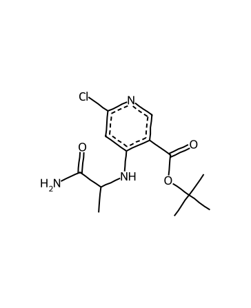 CC(Nc1cc(Cl)ncc1C(=O)OC(C)(C)C)C(N)=O